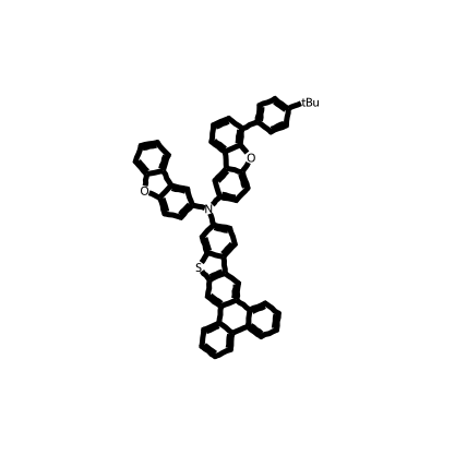 CC(C)(C)c1ccc(-c2cccc3c2oc2ccc(N(c4ccc5c(c4)sc4cc6c7ccccc7c7ccccc7c6cc45)c4ccc5oc6ccccc6c5c4)cc23)cc1